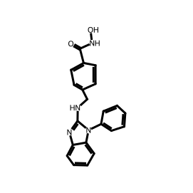 O=C(NO)c1ccc(CNc2nc3ccccc3n2-c2ccccc2)cc1